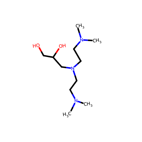 CN(C)CCN(CCN(C)C)CC(O)CO